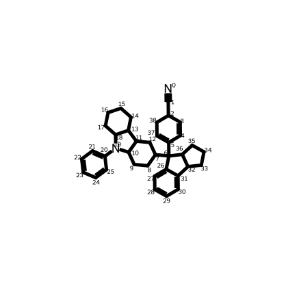 N#CC1C=CC(C2(C3CCC4C(C3)C3CCCCC3N4c3ccccc3)c3ccccc3C3CCCC32)=CC1